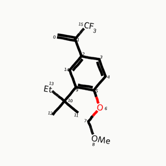 C=C(c1ccc(OCOC)c(C(C)(C)CC)c1)C(F)(F)F